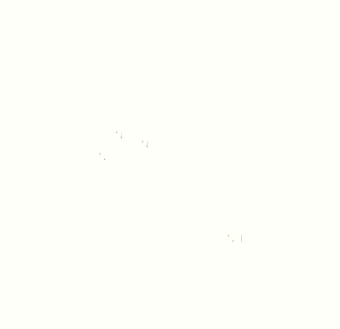 Nc1ccc(-c2cnnn2-c2ccccc2)cc1